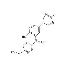 Cc1ncc(-c2ccc(C(C)(C)C)c(N(C=O)c3ccc(CO)nc3)c2)cn1